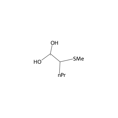 CCCC(SC)[C](O)O